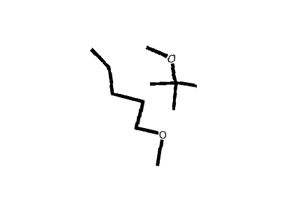 CCCCCOC.COC(C)(C)C